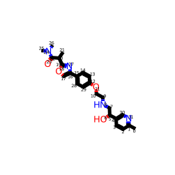 Cc1ccc(C(O)CNCCOc2ccc(-c3coc(C(C)C(=O)N(C)C)n3)cc2)cn1